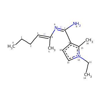 CCC/C=C(C)/N=C(/N)c1ccn(CC)c1C